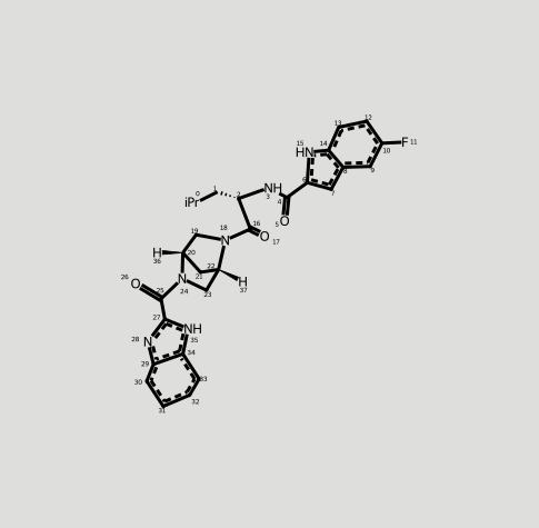 CC(C)C[C@H](NC(=O)c1cc2cc(F)ccc2[nH]1)C(=O)N1C[C@@H]2C[C@H]1CN2C(=O)c1nc2ccccc2[nH]1